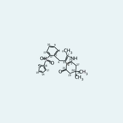 Cc1[nH]c2c(c1Cc1ccccc1S(=O)(=O)c1cccs1)C(=O)CC(C)(C)C2